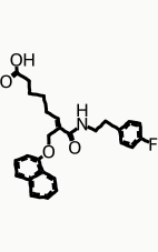 O=C(O)CCCC/C=C(\COc1cccc2ccccc12)C(=O)NCCc1ccc(F)cc1